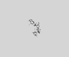 CC(Cl)(Cl)C(C(=O)Nc1ccc(Cl)c(C(=O)Nc2cc(F)c3[nH]ccc3c2)c1)c1cc(Cl)cc(Cl)c1